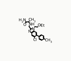 CCOCCn1c(CN[C@@H](C)C(N)=O)nc2cc(Cl)c(-c3ccc(C)cc3)cc21